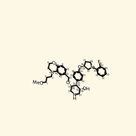 COCCCN1CCOc2ccc(CO[C@H]3CNC[C@@H](O)[C@@H]3c3ccc(O[C@H]4CCN(c5ccccc5F)C4)cc3)cc21